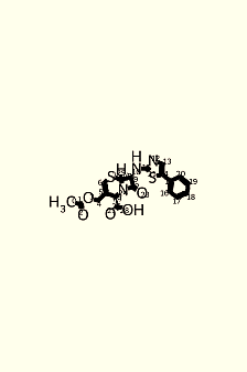 CC(=O)OCC1=CS[C@@H]2[C@H](Nc3ncc(-c4ccccc4)s3)C(=O)N2[C@H]1C(=O)O